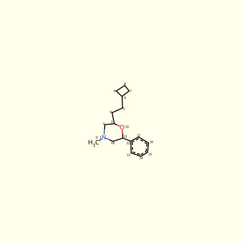 CN1CC(CCC2CCC2)OC(c2ccccc2)C1